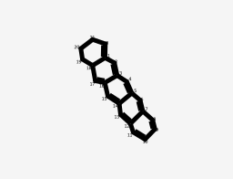 C1=C2C=c3cc4cc5ccccc5cc4cc3=CC2CCC1